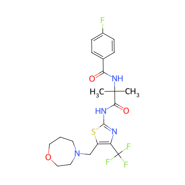 CC(C)(NC(=O)c1ccc(F)cc1)C(=O)Nc1nc(C(F)(F)F)c(CN2CCCOCC2)s1